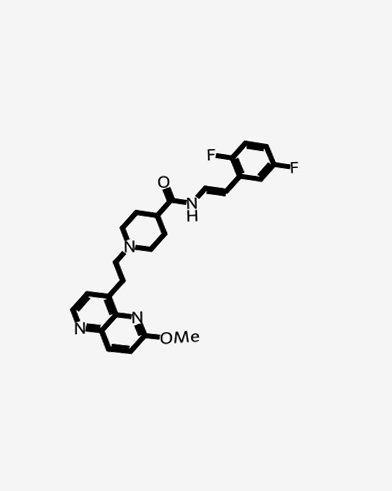 COc1ccc2nccc(CCN3CCC(C(=O)NC=Cc4cc(F)ccc4F)CC3)c2n1